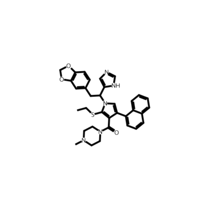 CCSc1c(C(=O)N2CCN(C)CC2)c(-c2cccc3ccccc23)cn1C(Cc1ccc2c(c1)OCO2)c1cnc[nH]1